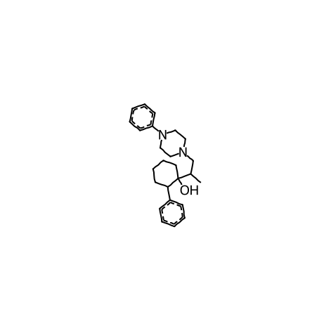 CC(CN1CCN(c2ccccc2)CC1)C1(O)CCCCC1c1ccccc1